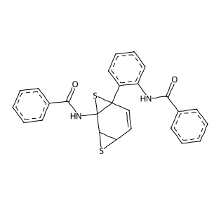 O=C(Nc1ccccc1C12C=CC3SC3C1(NC(=O)c1ccccc1)S2)c1ccccc1